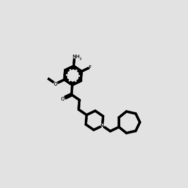 COc1cc(N)c(F)cc1C(=O)CCC1CCN(CC2CCCCCC2)CC1